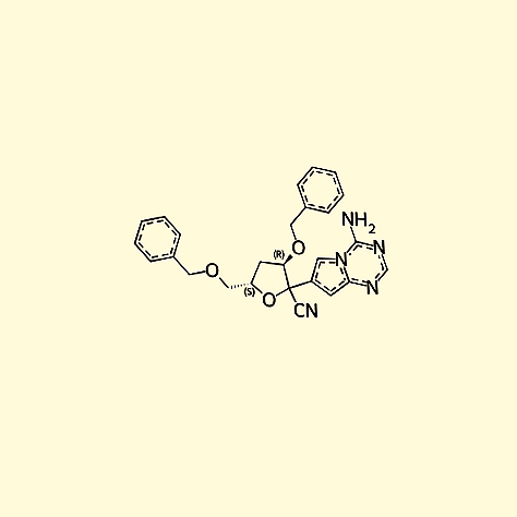 N#CC1(c2cc3ncnc(N)n3c2)O[C@H](COCc2ccccc2)C[C@H]1OCc1ccccc1